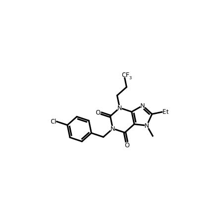 CCc1nc2c(c(=O)n(Cc3ccc(Cl)cc3)c(=O)n2CCC(F)(F)F)n1C